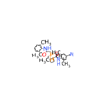 CC[PH](CC)(CC(=O)Nc1c(C)cccc1C)C1(C(=O)Nc2c(C)cc(C#N)cc2C)CCC1